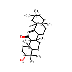 CC1(C)C2CC[C@@]3(C)C4CC[C@@]5(C)CC[C@](C)(C(=O)O)C[C@H]5C4=CC(=O)C3[C@@]2(C)CC[C@@H]1O